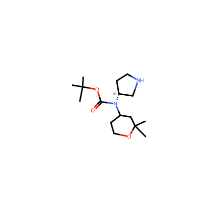 CC(C)(C)OC(=O)N(C1CCOC(C)(C)C1)[C@@H]1CCNC1